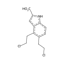 O=C(O)c1cc2c(CCCl)c(CCCl)ccc2[nH]1